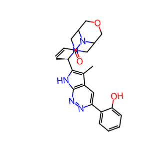 C=CC(=O)N1C2COCC1CN([C@H](C)c1[nH]c3nnc(-c4ccccc4O)cc3c1C)C2